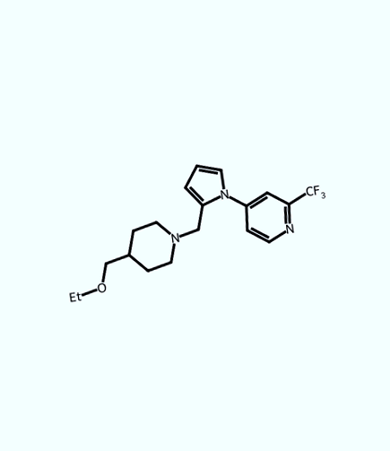 CCOCC1CCN(Cc2cccn2-c2ccnc(C(F)(F)F)c2)CC1